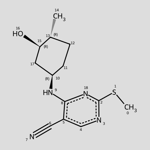 CSc1ncc(C#N)c(N[C@@H]2CC[C@@H](C)[C@H](O)C2)n1